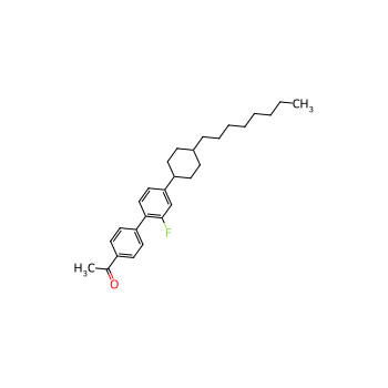 CCCCCCCCC1CCC(c2ccc(-c3ccc(C(C)=O)cc3)c(F)c2)CC1